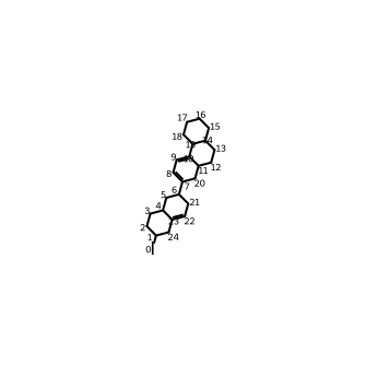 IC1CCC2CC(C3=CC=C4C(CCC5CCCCC45)C3)CC=C2C1